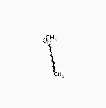 CCC=CC=CCCCCCCOC(C)=O